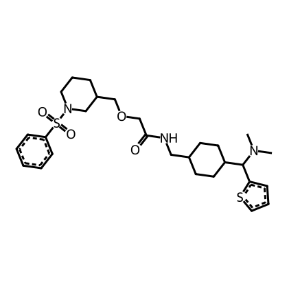 CN(C)C(c1cccs1)C1CCC(CNC(=O)COCC2CCCN(S(=O)(=O)c3ccccc3)C2)CC1